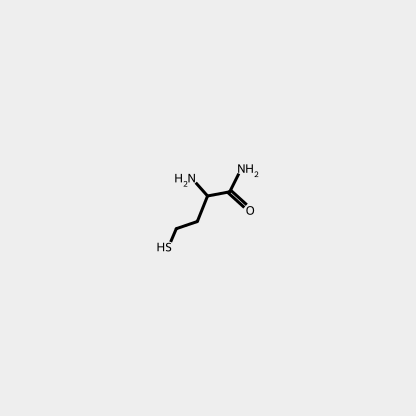 NC(=O)C(N)CCS